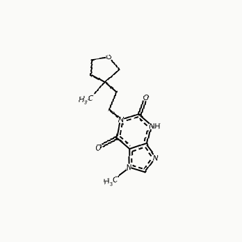 Cn1cnc2[nH]c(=O)n(CCC3(C)CCOC3)c(=O)c21